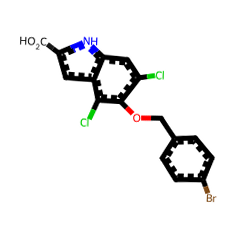 O=C(O)c1cc2c(Cl)c(OCc3ccc(Br)cc3)c(Cl)cc2[nH]1